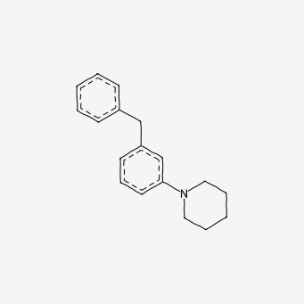 c1ccc(Cc2cccc(N3CCCCC3)c2)cc1